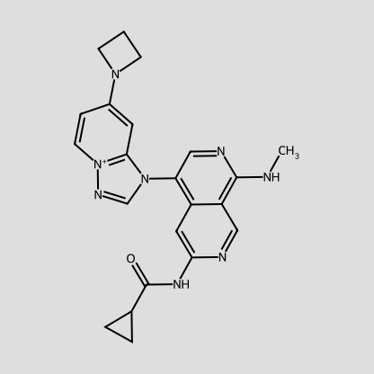 CNc1ncc(-n2cn[n+]3ccc(N4CCC4)cc23)c2cc(NC(=O)C3CC3)ncc12